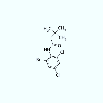 CC(C)(C)CC(=O)Nc1c(Cl)cc(Cl)cc1Br